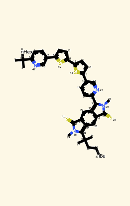 CCCCCCC(C)(C)c1ccc(-c2ccc(-c3ccc(-c4ccc(C5=c6cc7c(cc6C(=S)N5C)=C(C(C)(C)CCC(C)CC)N(C)C7=S)nc4)s3)s2)cn1